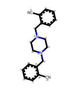 N#Cc1ccccc1CN1CCN(Cc2ccccc2C#N)CC1